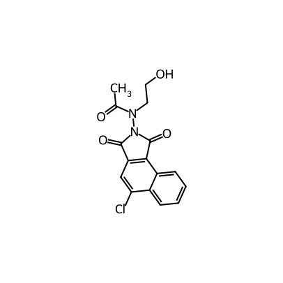 CC(=O)N(CCO)N1C(=O)c2cc(Cl)c3ccccc3c2C1=O